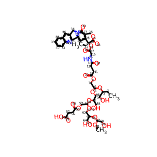 CCC(CO)OC(COC(=O)CCC(=O)NCC(=O)O[C@]1(CC)C(=O)OCc2c1cc1n(c2=O)Cc2cc3ccccc3nc2-1)OCC(CO)OC(COC(=O)CCC(=O)O)OCC(CO)OC(CO)OC